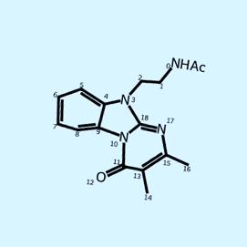 CC(=O)NCCn1c2ccccc2n2c(=O)c(C)c(C)nc12